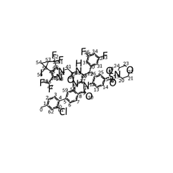 Cc1ccc(-c2ccc3c(=O)n(-c4ccc(S(=O)(=O)N5CCOCC5)cc4)c([C@H](Cc4cc(F)cc(F)c4)NC(=O)Cn4nc(C(F)F)c5c4C(F)(F)C4CC54I)nc3c2)c(Cl)c1